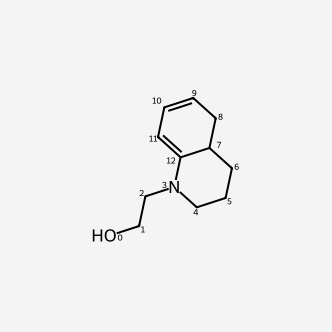 OCCN1CCCC2CC=CC=C21